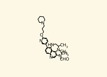 CC1CNc2c(-c3ccc(OCCCN4CCCCC4)nc3)ccc3ncc(N(C)C=O)c(c23)N1C